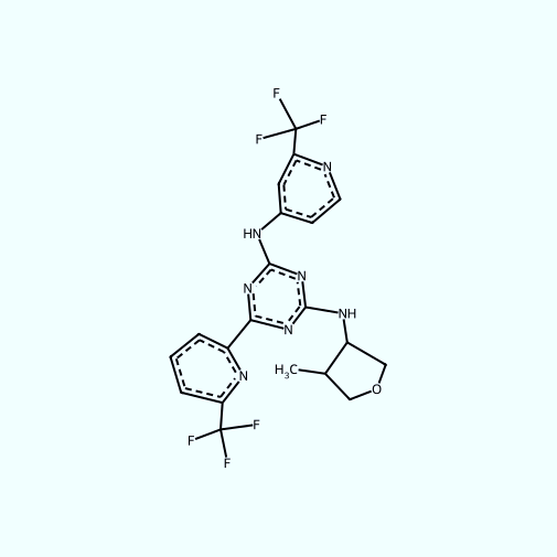 CC1COCC1Nc1nc(Nc2ccnc(C(F)(F)F)c2)nc(-c2cccc(C(F)(F)F)n2)n1